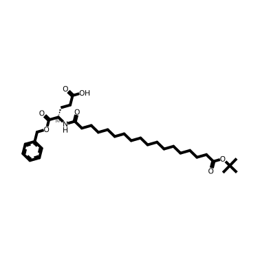 CC(C)(C)OC(=O)CCCCCCCCCCCCCCCCC(=O)N[C@@H](CCC(=O)O)C(=O)OCc1ccccc1